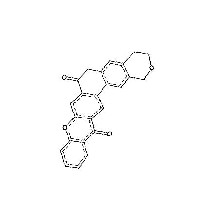 O=C1Cc2cc3c(cc2-c2cc4c(=O)c5ccccc5oc4cc21)COCC3